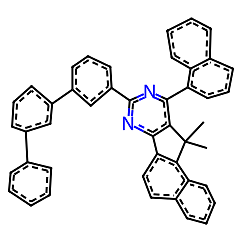 CC1(C)c2c(nc(-c3cccc(-c4cccc(-c5ccccc5)c4)c3)nc2-c2cccc3ccccc23)-c2ccc3ccccc3c21